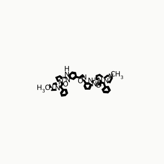 CN1CCN(C(C(=O)N2CCC[C@H]2c2nc3cc(-c4cnc(-c5cccc6[nH]c([C@@H]7CCCN7C(=O)C(c7ccccc7)N7CCN(C)CC7)nc56)o4)ccc3[nH]2)c2ccccc2)CC1